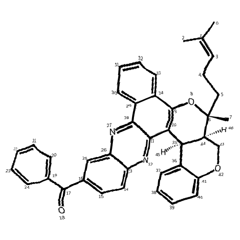 CC(C)=CCC[C@@]1(C)Oc2c(c3nc4ccc(C(=O)c5ccccc5)cc4nc3c3ccccc23)[C@@H]2c3ccccc3OC[C@@H]21